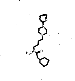 CN(CCCCN1CCN(c2ncccn2)CC1)C(=O)CC1CCCCC1